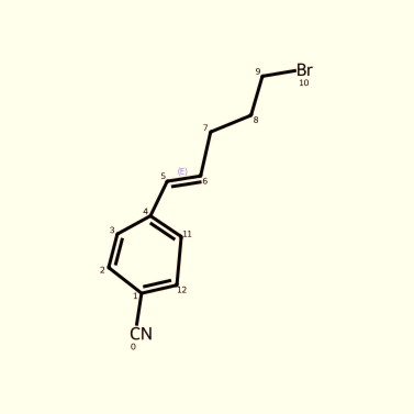 N#Cc1ccc(/C=C/CCCBr)cc1